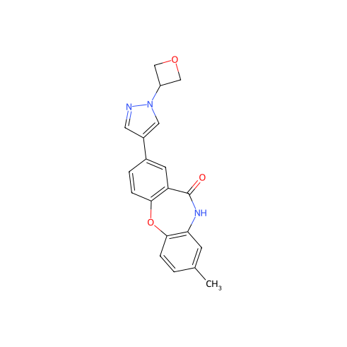 Cc1ccc2c(c1)NC(=O)c1cc(-c3cnn(C4COC4)c3)ccc1O2